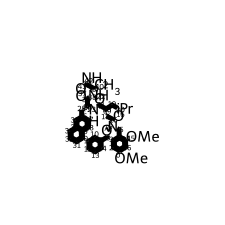 COc1ccc(CN(OCc2ccccc2)C(=O)C[C@@H](CC(C)C)C(=O)N[C@H](Cc2ccc3ccccc3c2)C(=O)N[C@@H](C)C(N)=O)c(OC)c1